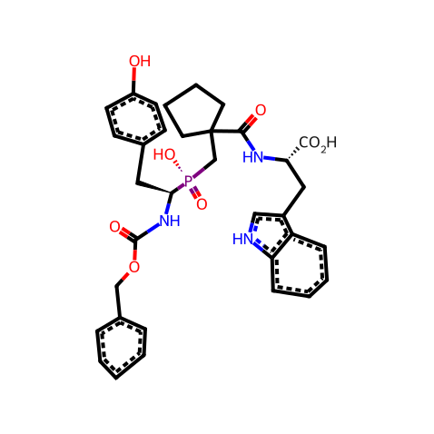 O=C(N[C@@H](Cc1ccc(O)cc1)[P@@](=O)(O)CC1(C(=O)N[C@@H](Cc2c[nH]c3ccccc23)C(=O)O)CCCC1)OCc1ccccc1